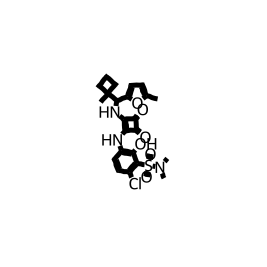 Cc1ccc(C(Nc2c(Nc3ccc(Cl)c(S(=O)(=O)N(C)C)c3O)c(=O)c2=O)C2(C)CCC2)o1